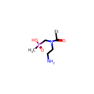 CCC(=O)N(CCN)CP(C)(=O)O